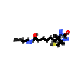 CSCCNC(=O)CCCC[C@@H]1SC[C@@H]2NC(=O)N[C@@H]21